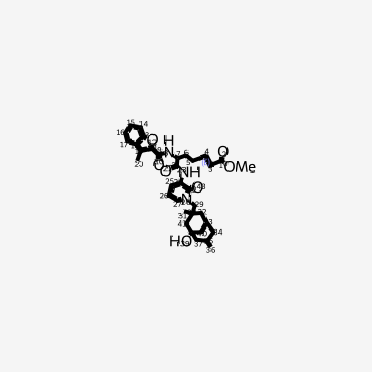 COC(=O)/C=C/CCC(NC(=O)c1oc2ccccc2c1C)C(=O)Nc1cccn(CC2(C)CC3CC(C)CC(O)(C3)C2)c1=O